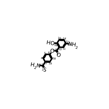 NC(=S)c1ccc(OC(=O)c2cc(N)ccc2O)cc1